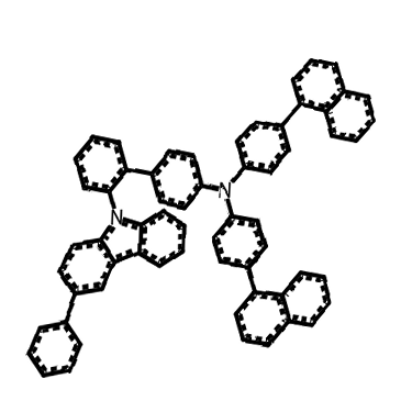 c1ccc(-c2ccc3c(c2)c2ccccc2n3-c2ccccc2-c2ccc(N(c3ccc(-c4cccc5ccccc45)cc3)c3ccc(-c4cccc5ccccc45)cc3)cc2)cc1